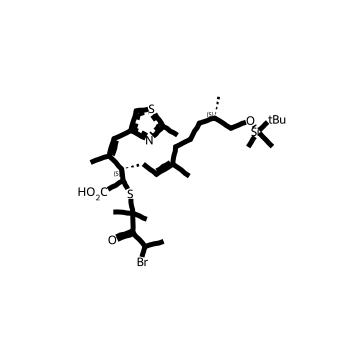 CC(=CC[C@@H](C(C)=Cc1csc(C)n1)C(SC(C)(C)C(=O)C(C)Br)C(=O)O)CCC[C@H](C)CO[Si](C)(C)C(C)(C)C